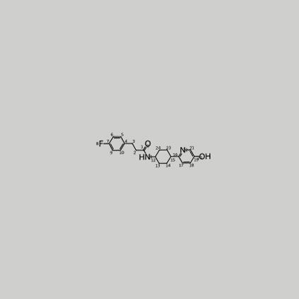 O=C(CCc1ccc(F)cc1)NC1CCC(c2ccc(O)cn2)CC1